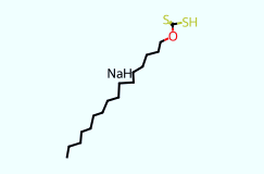 CCCCCCCCCCCCCCCCOC(=S)S.[NaH]